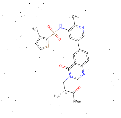 CNC(=O)[C@H](C)Cn1cnc2ccc(-c3cnc(OC)c(NS(=O)(=O)c4sccc4C)c3)cc2c1=O